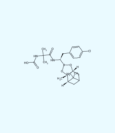 CC(C)(NC(=O)O)C(=O)N[C@@H](Cc1ccc(Cl)cc1)B1O[C@@H]2CC3C[C@@H](C3(C)C)[C@]2(C)O1